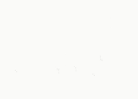 COc1ccc(CC(NC(=O)NCCc2cccnc2)c2nc3ccccc3[nH]2)cc1